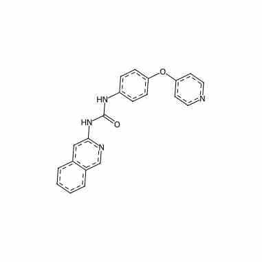 O=C(Nc1ccc(Oc2ccncc2)cc1)Nc1cc2ccccc2cn1